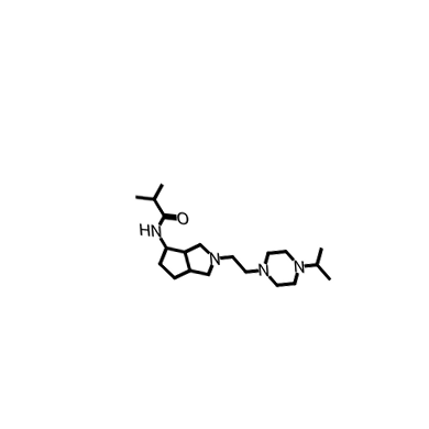 CC(C)C(=O)NC1CCC2CN(CCN3CCN(C(C)C)CC3)CC21